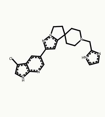 Clc1c[nH]c2ncc(-c3cc4n(n3)CCC43CCN(Cc4ncc[nH]4)CC3)cc12